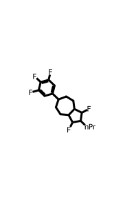 CCCC1C(F)C2CCC(c3cc(F)c(F)c(F)c3)CCC2C1F